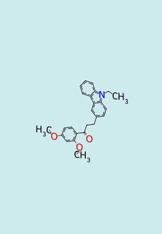 CCn1c2ccccc2c2cc(CCC(=O)c3ccc(OC)cc3OC)ccc21